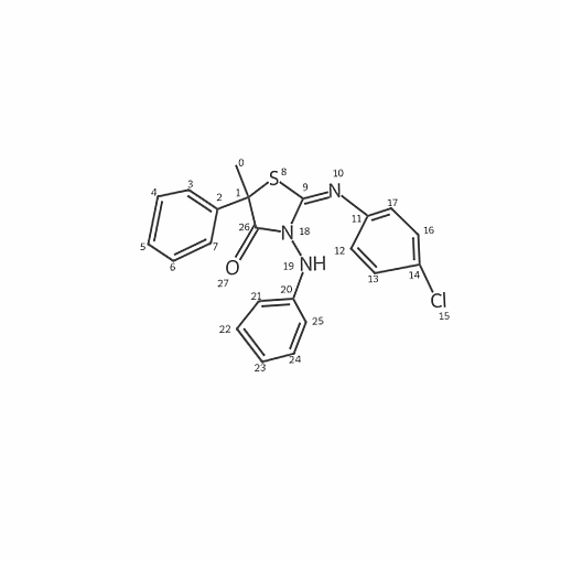 CC1(c2ccccc2)SC(=Nc2ccc(Cl)cc2)N(Nc2ccccc2)C1=O